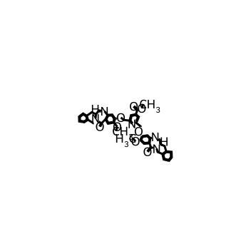 COC(=O)c1cc(COc2cc3c(cc2OC)C(=O)N2Cc4ccccc4C[C@H]2C=N3)nc(COc2cc3c(cc2OC)C(=O)N2Cc4ccccc4C[C@H]2C=N3)c1